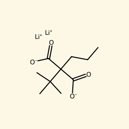 CCCC(C(=O)[O-])(C(=O)[O-])C(C)(C)C.[Li+].[Li+]